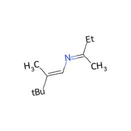 CC/C(C)=N/C=C(\C)C(C)(C)C